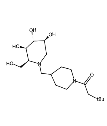 CC(C)(C)CC(=O)N1CCC(CN2C[C@H](O)[C@@H](O)[C@H](O)[C@@H]2CO)CC1